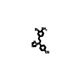 N#Cc1ccc(N(CCc2ccc(N)c(Br)c2)n2cncn2)cc1